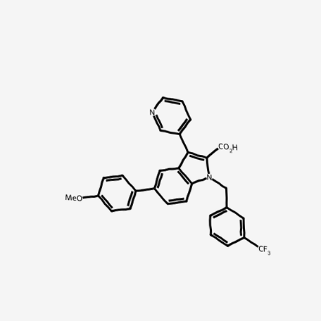 COc1ccc(-c2ccc3c(c2)c(-c2cccnc2)c(C(=O)O)n3Cc2cccc(C(F)(F)F)c2)cc1